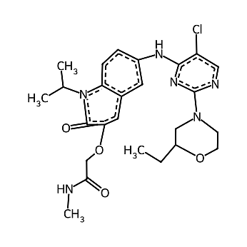 CCC1CN(c2ncc(Cl)c(Nc3ccc4c(c3)cc(OCC(=O)NC)c(=O)n4C(C)C)n2)CCO1